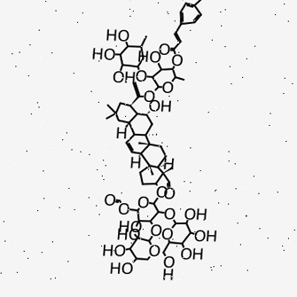 C=C(OC1OC(C)C(OC(=O)/C=C/c2ccc(C)cc2)C(O)C1OC1CC(C)C(O)C(O)C1O)[C@@H]1CC(C)(C)C[C@@H]2C1[C@H](O)C[C@]1(C)C2C=C[C@@H]2[C@@]3(C)CC[C@H](OC4OC(OC=O)C(O)C(OC5OCC(O)C(O)C5O)C4OC4OC(CO)C(O)C(O)C4O)[C@@](C)(C=O)[C@@H]3CC[C@]21C